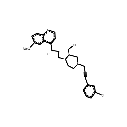 COc1ccc2nccc([C@@H](F)CC[C@@H]3CCN(CC#Cc4cccc(Cl)c4)C[C@@H]3CO)c2c1